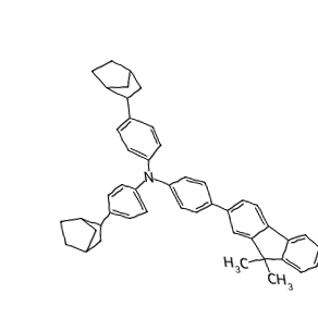 CC1(C)c2ccccc2-c2ccc(-c3ccc(N(c4ccc(C5CC6CCC5C6)cc4)c4ccc(C5CC6CCC5C6)cc4)cc3)cc21